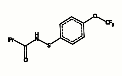 CC(C)C(=O)NSc1ccc(OC(F)(F)F)cc1